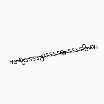 O=C(CSCSCSCSCCOOCSCSCSCSCOC(=O)CSCSCSCSCC(=O)OCCO)OCCO